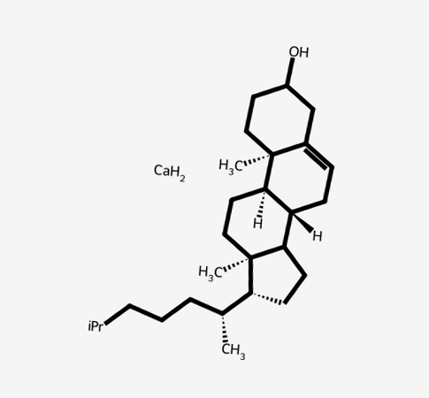 CC(C)CCC[C@@H](C)[C@H]1CCC2[C@H]3CC=C4CC(O)CC[C@]4(C)[C@@H]3CC[C@@]21C.[CaH2]